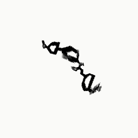 COc1ccc(-c2csc(NC(=O)/C=C/c3ccc(N)cc3)n2)cc1